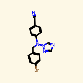 N#Cc1ccc(N(Cc2ccc(Br)cc2)n2cncn2)cc1